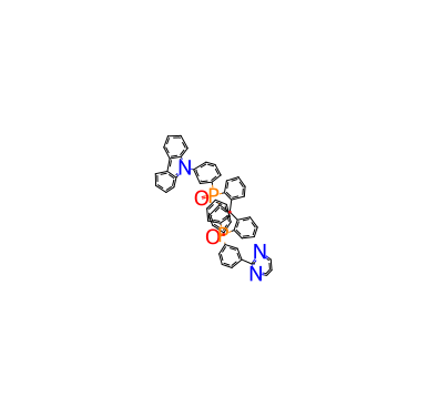 O=P(c1ccccc1)(c1cccc(-c2ncccn2)c1)c1ccccc1Cc1ccccc1P(=O)(c1ccccc1)c1cccc(-n2c3ccccc3c3ccccc32)c1